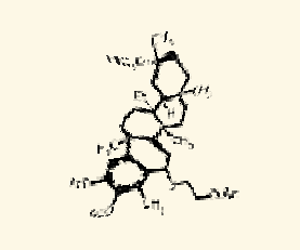 CC[C@@]12CC[C@]3(C)C(=CC(SCCOC(C)=O)c4c3cc(OC(C)=O)c(OC(C)=O)c4C)[C@@]1(C)CC[C@@]1(C)CC[C@@](C)(C(=O)O)C[C@H]12